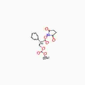 CC(C)(C)OC(=O)OC[C@H](C(=O)ON1C(=O)CCC1=O)c1ccccc1